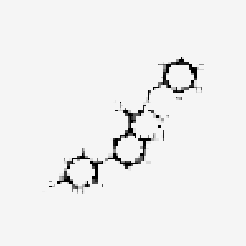 O=c1c2cc(-c3ccc(F)nc3)ccc2ncn1Cc1ccccc1